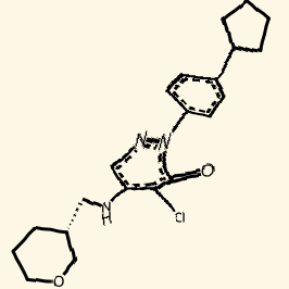 O=c1c(Cl)c(NC[C@H]2CCCOC2)cnn1-c1ccc(C2CCCC2)cc1